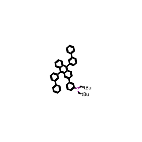 CC(C)(C)CP(CC(C)(C)C)c1cccc(-c2ccc3c(-c4cccc(-c5ccccc5)c4)c4ccccc4c(-c4cccc(-c5ccccc5)c4)c3c2)c1